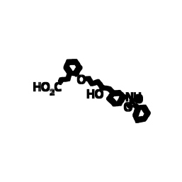 O=C(O)CCc1ccccc1OCCCC(O)Cc1cccc(NS(=O)(=O)c2ccccc2)c1